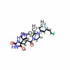 C=C/C(=C\C(F)=C/CF)N1CCN(C(=O)CCC2(c3cnn(C)c3)NC(=O)NC2=O)C[C@@H]1C